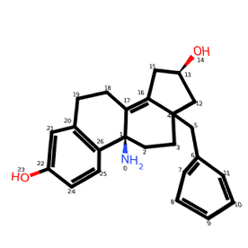 N[C@]12CCC3(Cc4ccccc4)C[C@H](O)CC3=C1CCc1cc(O)ccc12